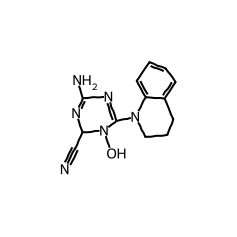 N#CC1N=C(N)N=C(N2CCCc3ccccc32)N1O